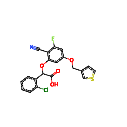 N#Cc1c(F)cc(OCc2ccsc2)cc1OC(C(=O)O)c1ccccc1Cl